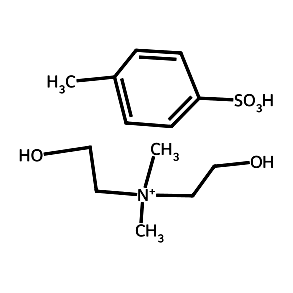 C[N+](C)(CCO)CCO.Cc1ccc(S(=O)(=O)O)cc1